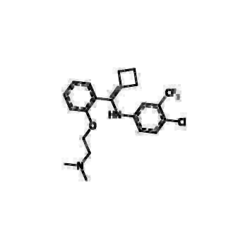 CN(C)CCOc1ccccc1C(Nc1ccc(Cl)c(C(F)(F)F)c1)=C1CCC1